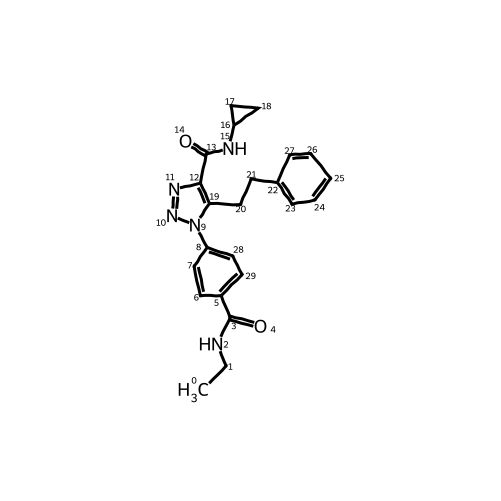 CCNC(=O)c1ccc(-n2nnc(C(=O)NC3CC3)c2CCc2ccccc2)cc1